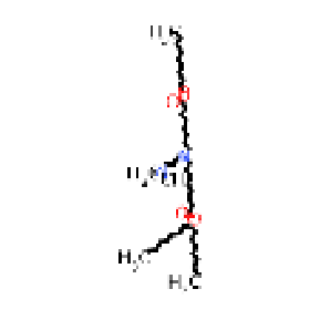 CCCCCCCCCOC(=O)CCCCCCCN(CCCCCCCC(=O)OC(CCCCCCCC)CCCCCCCC)CCCN(C)C